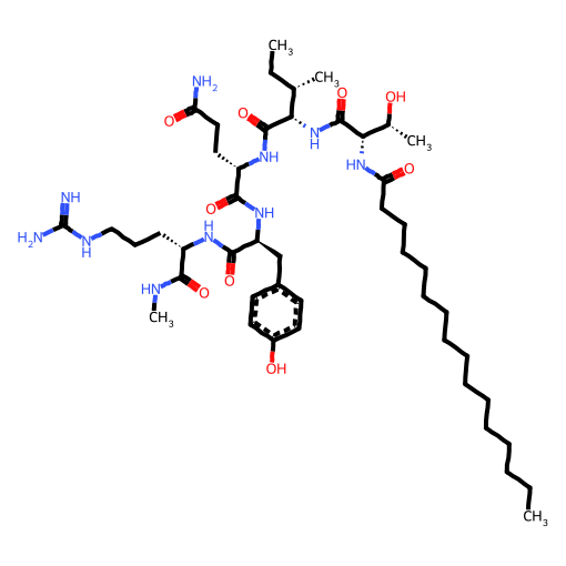 CCCCCCCCCCCCCCCC(=O)N[C@H](C(=O)N[C@H](C(=O)N[C@@H](CCC(N)=O)C(=O)N[C@@H](Cc1ccc(O)cc1)C(=O)N[C@@H](CCCNC(=N)N)C(=O)NC)[C@@H](C)CC)[C@@H](C)O